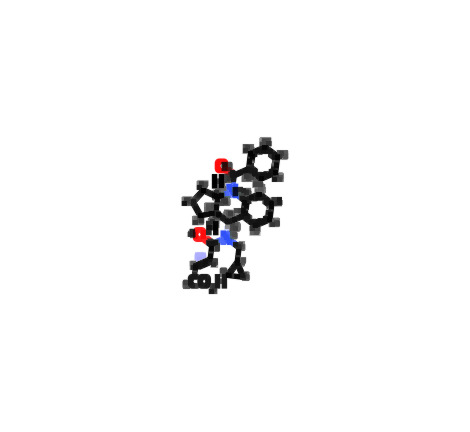 O=C(O)/C=C/C(=O)N(CC1CC1)[C@H]1c2ccccc2N(C(=O)c2ccccc2)[C@@H]2CCC[C@@H]21